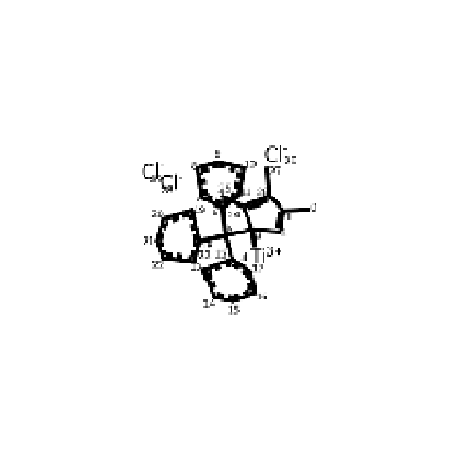 CC1=C[C]([Ti+3])(C(c2ccccc2)(c2ccccc2)c2ccccc2)C(C)=C1C.[Cl-].[Cl-].[Cl-]